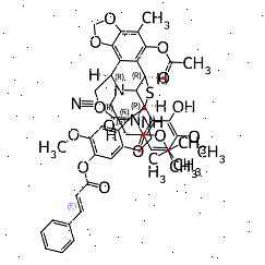 COc1cc2c(cc1OC(=O)/C=C/c1ccccc1)CCN[C@]21CS[C@@H]2c3c(OC(C)=O)c(C)c4c(c3[C@H](COC1=O)N1C2[C@H]2c3c(cc(C)c(OC)c3O)C[C@@H]([C@@H]1C#N)N2C(=O)OC(C)(C)C)OCO4